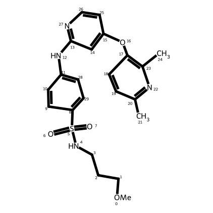 COCCCNS(=O)(=O)c1ccc(Nc2cc(Oc3ccc(C)nc3C)ccn2)cc1